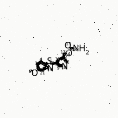 COc1ccc2sc(-c3cncc(COC(N)=O)c3)nc2c1